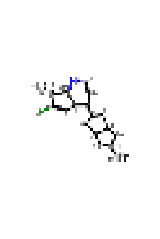 CC1C(F)=Cc2c(C3CC4CC(C(C)C)CC4C3)ccnc21